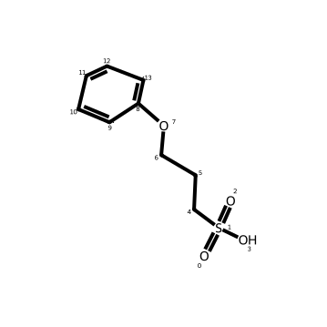 O=S(=O)(O)CCCOc1[c]ccc[c]1